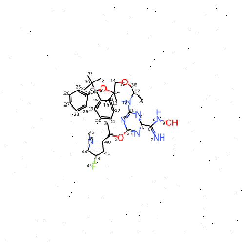 CC(Oc1nc(C(=N)NO)nc(N2C[C@](C)(O[Si](c3ccccc3)(c3ccccc3)C(C)(C)C)COC[C@H]2C)n1)[C@H]1C[C@@H](F)CN1C